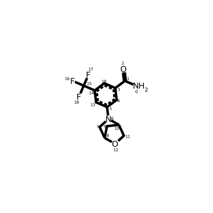 NC(=O)c1cc(N2CC3CC2CO3)cc(C(F)(F)F)c1